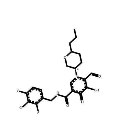 CCCC1CC[C@@H](n2cc(C(=O)NCc3ccc(F)c(Cl)c3F)c(=O)c(O)c2C=O)CO1